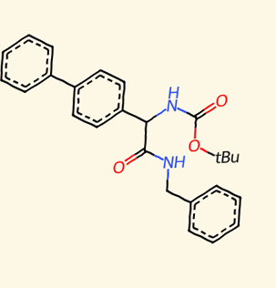 CC(C)(C)OC(=O)NC(C(=O)NCc1ccccc1)c1ccc(-c2ccccc2)cc1